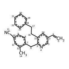 C=Cc1cnc(Cc2ccc(C#N)cc2C)c(CCc2ccccc2)c1